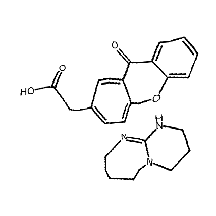 C1CN=C2NCCCN2C1.O=C(O)Cc1ccc2oc3ccccc3c(=O)c2c1